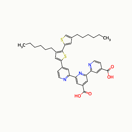 CCCCCCc1csc(-c2sc(-c3ccnc(-c4cc(C(=O)O)cc(-c5cc(C(=O)O)ccn5)n4)c3)cc2CCCCCC)c1